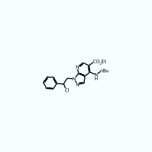 CCCCNc1c(C(=O)OCC)cnc2c1cnn2CC(Cl)c1ccccc1